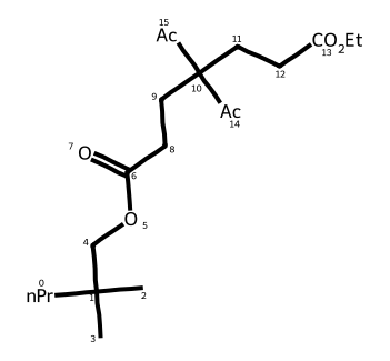 [CH2]CCC(C)(C)COC(=O)CCC(CCC(=O)OCC)(C(C)=O)C(C)=O